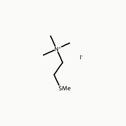 CSCC[N+](C)(C)C.[I-]